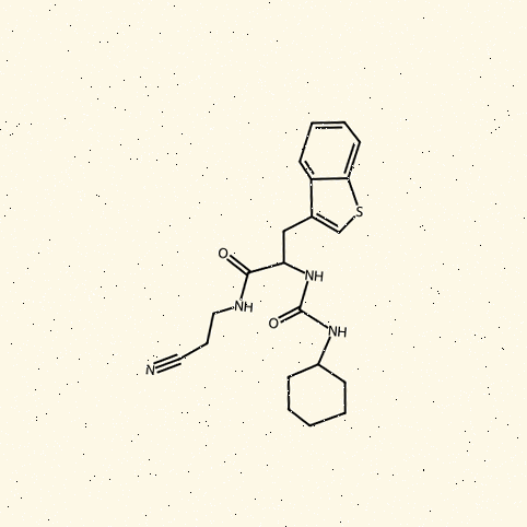 N#CCCNC(=O)C(Cc1csc2ccccc12)NC(=O)NC1CCCCC1